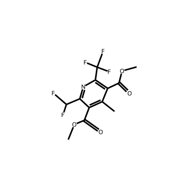 COC(=O)c1c(C(F)F)nc(C(F)(F)F)c(C(=O)OC)c1C